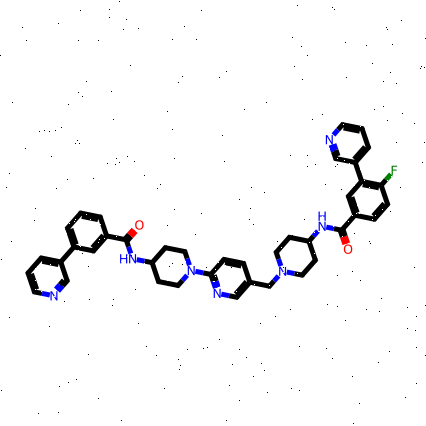 O=C(NC1CCN(Cc2ccc(N3CCC(NC(=O)c4cccc(-c5cccnc5)c4)CC3)nc2)CC1)c1ccc(F)c(-c2cccnc2)c1